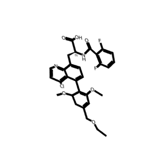 CCOCC1=CC(OC)=C(c2ccc(C[C@H](NC(=O)c3c(F)cccc3F)C(=O)O)c3nccc(Cl)c23)C(OC)C1